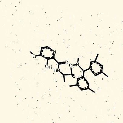 COc1ccnc(C(=O)NC(C)C(=O)ON(C)C(c2cc(C)cc(C)c2)c2cc(C)cc(C)c2)c1O